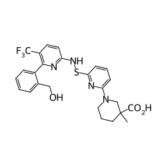 CC1(C(=O)O)CCCN(c2cccc(SNc3ccc(C(F)(F)F)c(-c4ccccc4CO)n3)n2)C1